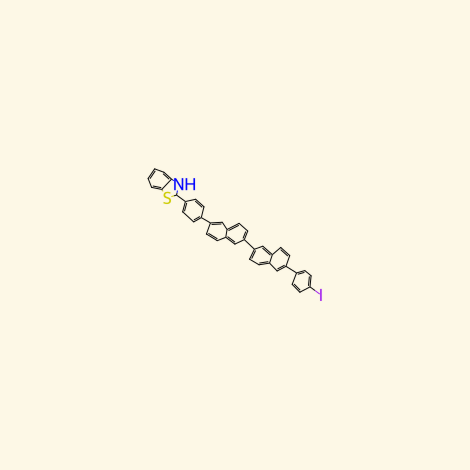 Ic1ccc(-c2ccc3cc(-c4ccc5cc(-c6ccc(C7Nc8ccccc8S7)cc6)ccc5c4)ccc3c2)cc1